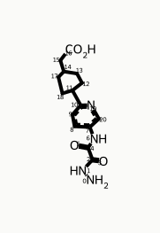 NNC(=O)C(=O)Nc1ccc(C2CCC(CC(=O)O)CC2)nc1